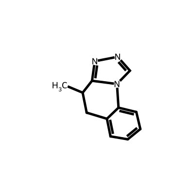 CC1Cc2ccccc2-n2cnnc21